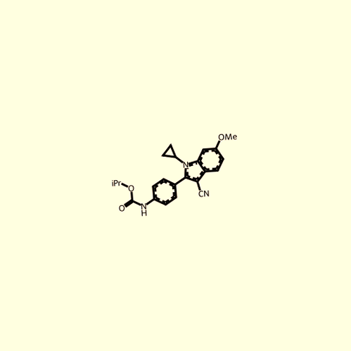 COc1ccc2c(C#N)c(-c3ccc(NC(=O)OC(C)C)cc3)n(C3CC3)c2c1